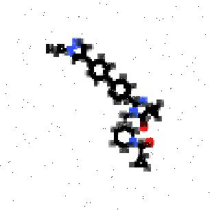 Cn1cc(-c2ccc(-c3ccc(C4=NC5(CC5)C(=O)N4C[C@H]4CCCN(C(=O)C5CC5)C4)cc3)cc2)cn1